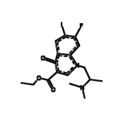 CCOC(=O)c1cn(CC(C)N(C)C)c2cc(F)c(I)cc2c1=O